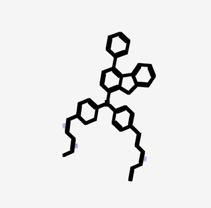 C=C/C=C\C=Cc1ccc(N(C2=CC=C(/C=C\C=C/C)CC2)c2ccc(-c3ccccc3)c3c2Cc2ccccc2-3)cc1